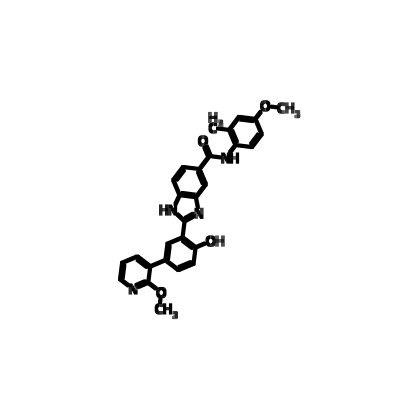 COc1ccc(NC(=O)c2ccc3[nH]c(-c4cc(-c5cccnc5OC)ccc4O)nc3c2)c(C)c1